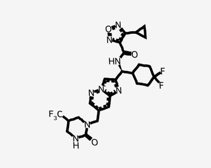 O=C(N[C@H](c1cn2ncc(CN3CC(C(F)(F)F)CNC3=O)cc2n1)C1CCC(F)(F)CC1)c1nonc1C1CC1